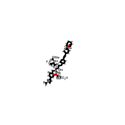 COC(=O)NC(C(=O)NC(Cc1ccc(C#Cc2ccc(N3CC4CCC(C3)N4S(C)(=O)=O)nc2)cc1)C(O)CN(Cc1c(F)cc(-c2ccn(C(F)F)n2)cc1F)NC(=O)C(NC(=O)O)C(C)(C)C)C(C)(C)C(F)(F)F